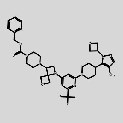 Cc1cnn(C2COC2)c1C1CCN(c2cc(N3C[C@H](N4CCN(C(=O)OCc5ccccc5)CC4)C34COC4)nc(C(F)(F)F)n2)CC1